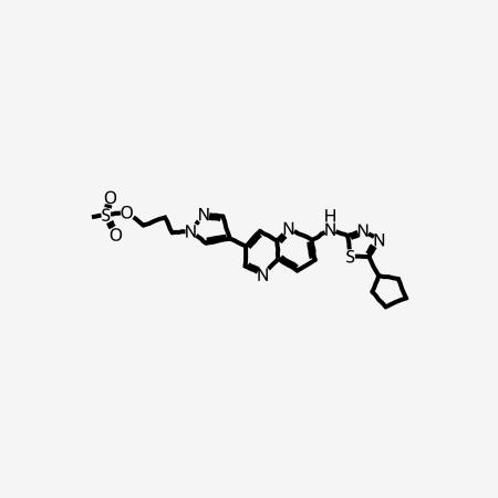 CS(=O)(=O)OCCCn1cc(-c2cnc3ccc(Nc4nnc(C5CCCC5)s4)nc3c2)cn1